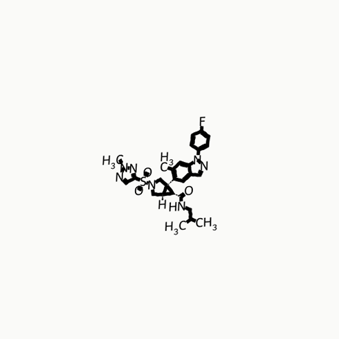 Cc1cc2c(cnn2-c2ccc(F)cc2)cc1[C@@]12CN(S(=O)(=O)c3cnn(C)n3)C[C@@H]1[C@H]2C(=O)NCC(C)C